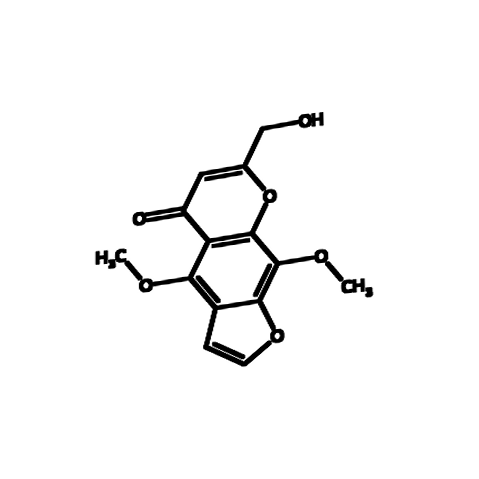 COc1c2occc2c(OC)c2c(=O)cc(CO)oc12